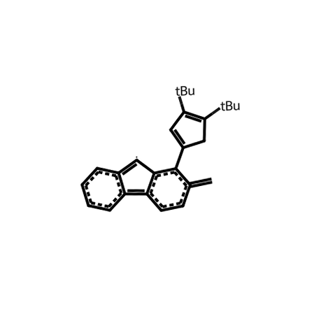 C=c1ccc2c(c1C1=CC(C(C)(C)C)=C(C(C)(C)C)C1)[C]=c1ccccc1=2